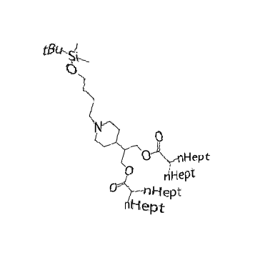 CCCCCCCC(CCCCCCC)C(=O)OCC(COC(=O)C(CCCCCCC)CCCCCCC)C1CCN(CCCCO[Si](C)(C)C(C)(C)C)CC1